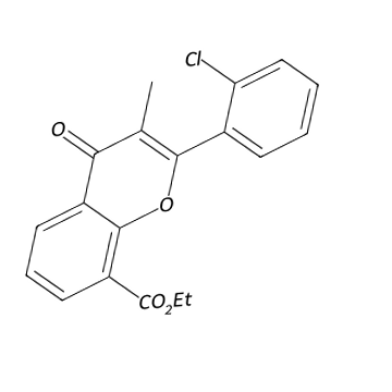 CCOC(=O)c1cccc2c(=O)c(C)c(-c3ccccc3Cl)oc12